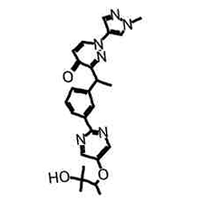 CC(c1cccc(-c2ncc(OC(C)C(C)(C)O)cn2)c1)c1nn(-c2cnn(C)c2)ccc1=O